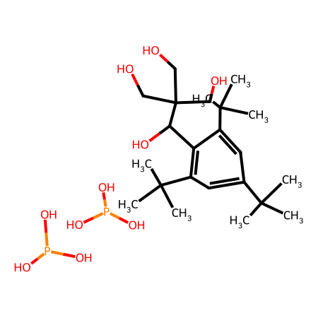 CC(C)(C)c1cc(C(C)(C)C)c(C(O)C(CO)(CO)CO)c(C(C)(C)C)c1.OP(O)O.OP(O)O